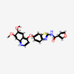 COc1cc2nccc(Oc3ccc4nc(NC(=O)c5ccoc5)sc4c3)c2cc1OC